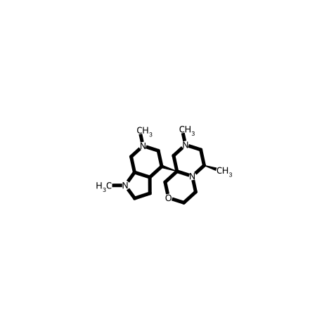 C[C@@H]1CN(C)C[C@@]2(C3CN(C)CC4C3CCN4C)COCCN12